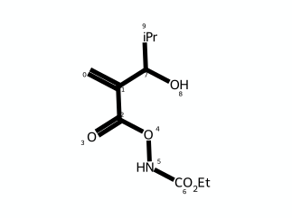 C=C(C(=O)ONC(=O)OCC)C(O)C(C)C